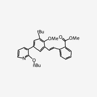 CCCCOc1ncccc1-c1cc(/C=C/c2ccccc2C(=O)OC)c(OC)c(C(C)(C)C)c1